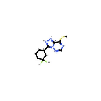 CSc1ncnn2c(C3CCCC(F)(F)C3)nnc12